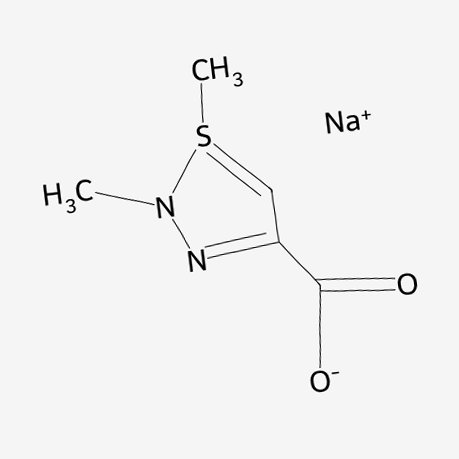 CN1N=C(C(=O)[O-])C=S1C.[Na+]